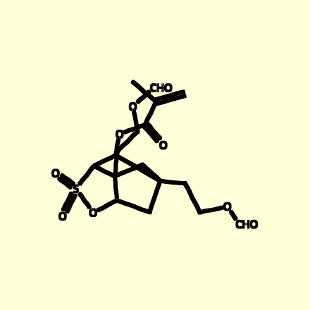 C=C(C)C(=O)OC1C2C3(CCOC=O)CC1(CCOC=O)CC3OS2(=O)=O